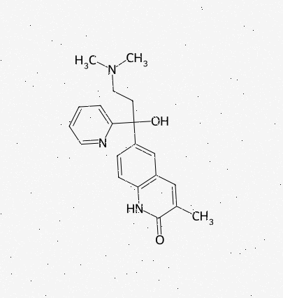 Cc1cc2cc(C(O)(CCN(C)C)c3ccccn3)ccc2[nH]c1=O